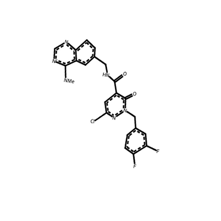 CNc1ncnc2ccc(CNC(=O)c3cc(Cl)nn(Cc4ccc(F)c(F)c4)c3=O)cc12